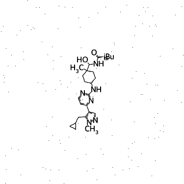 CC[C@H](C)C(=O)NC(O)C1(C)CCC(Nc2nccc(-c3cnn(C)c3CC3CC3)n2)CC1